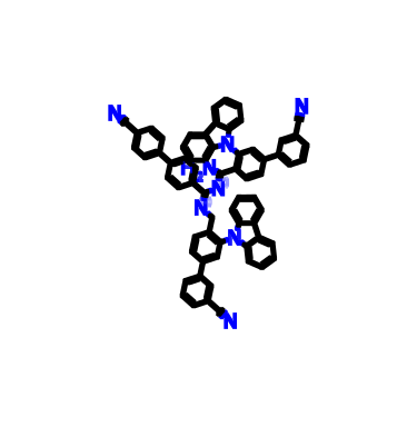 N#Cc1ccc(-c2ccc(C(=N/Cc3ccc(-c4cccc(C#N)c4)cc3-n3c4ccccc4c4ccccc43)/N=C(\N)c3ccc(-c4cccc(C#N)c4)cc3-n3c4ccccc4c4ccccc43)cc2)cc1